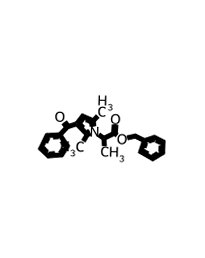 Cc1cc(C(=O)c2ccccc2)c(C)n1C(C)C(=O)OCc1ccccc1